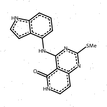 CSc1nc(Nc2cccc3[nH]ccc23)c2c(=O)[nH]ccc2n1